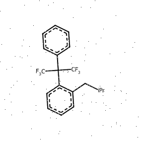 CC(C)Cc1ccccc1C(c1ccccc1)(C(F)(F)F)C(F)(F)F